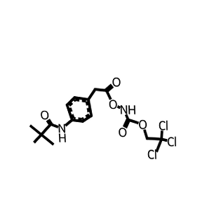 CC(C)(C)C(=O)Nc1ccc(CC(=O)ONC(=O)OCC(Cl)(Cl)Cl)cc1